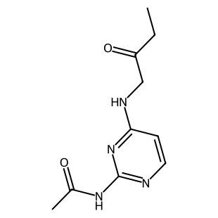 CCC(=O)CNc1ccnc(NC(C)=O)n1